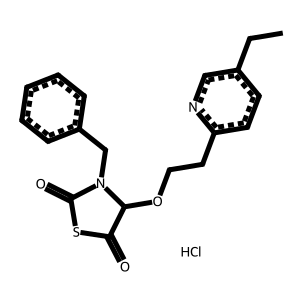 CCc1ccc(CCOC2C(=O)SC(=O)N2Cc2ccccc2)nc1.Cl